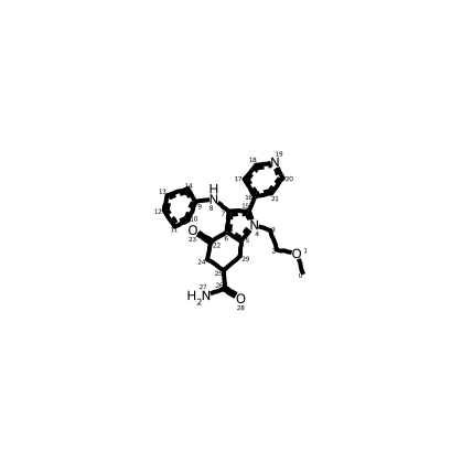 COCCn1c2c(c(Nc3ccccc3)c1-c1ccncc1)C(=O)CC(C(N)=O)C2